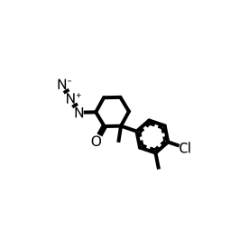 Cc1cc(C2(C)CCCC(N=[N+]=[N-])C2=O)ccc1Cl